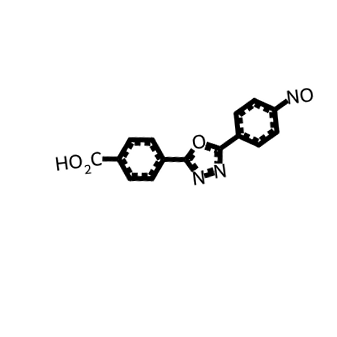 O=Nc1ccc(-c2nnc(-c3ccc(C(=O)O)cc3)o2)cc1